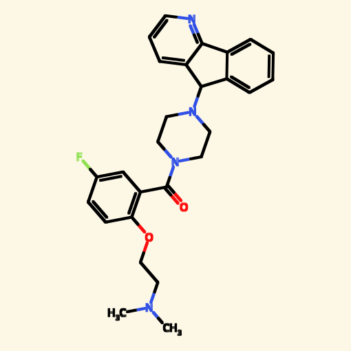 CN(C)CCOc1ccc(F)cc1C(=O)N1CCN(C2c3ccccc3-c3ncccc32)CC1